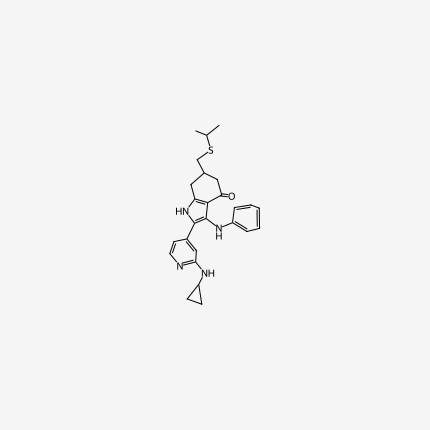 CC(C)SCC1CC(=O)c2c([nH]c(-c3ccnc(NC4CC4)c3)c2Nc2ccccc2)C1